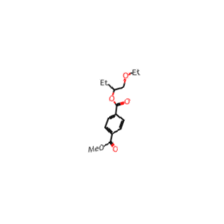 CCOCC(CC)OC(=O)c1ccc(C(=O)OC)cc1